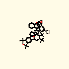 [CH2]=[Zr]([C]1=CC=CC1)([c]1c2c(cc(C(C)(C)C)c1C(C)(C)C)-c1cc(C(C)(C)C)c(C(C)(C)C)cc1C2)([c]1cc(Cl)cc2ccccc12)[c]1cc(Cl)cc2ccccc12